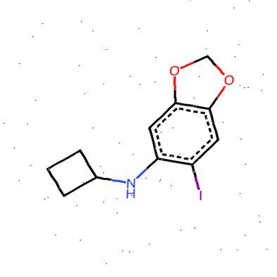 Ic1cc2c(cc1NC1CCC1)OCO2